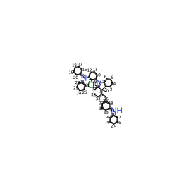 CC12c3ccccc3N(c3cccc(N(c4ccccc4)c4ccccc4)c3Cl)C1(C)CCCC2Cc1cccc(Nc2ccccc2)c1